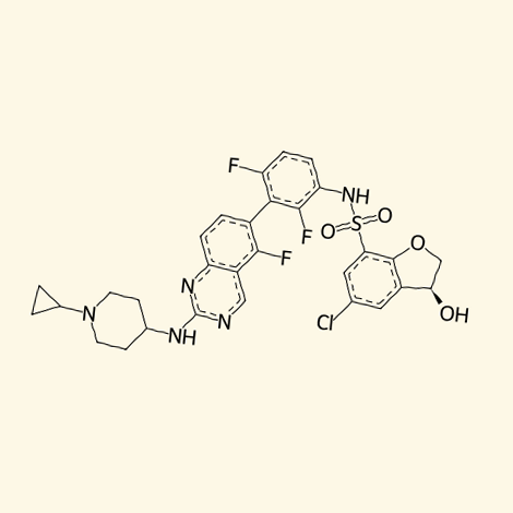 O=S(=O)(Nc1ccc(F)c(-c2ccc3nc(NC4CCN(C5CC5)CC4)ncc3c2F)c1F)c1cc(Cl)cc2c1OC[C@H]2O